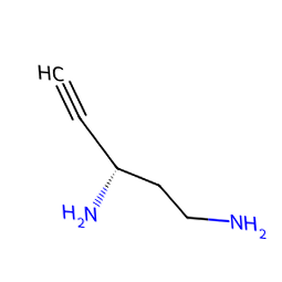 C#C[C@@H](N)CCN